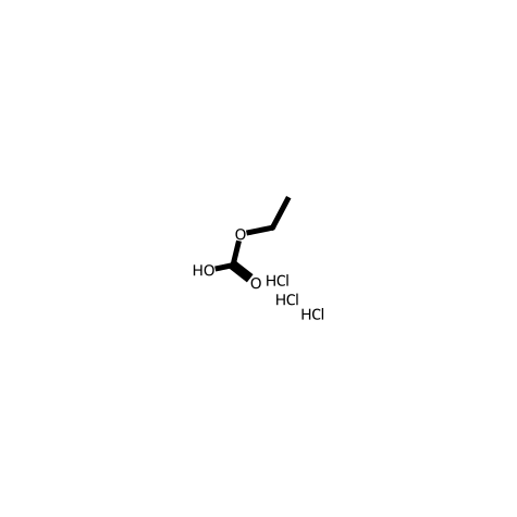 CCOC(=O)O.Cl.Cl.Cl